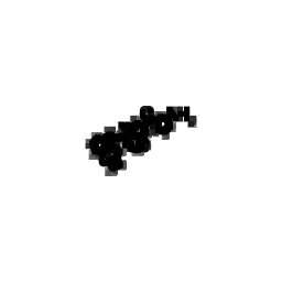 N[C@@H]1CCCN(C(=O)c2cc3c4c(c2)nc(-c2cc5cccc(Cl)c5n2CC2CCC2)n4CCO3)C1